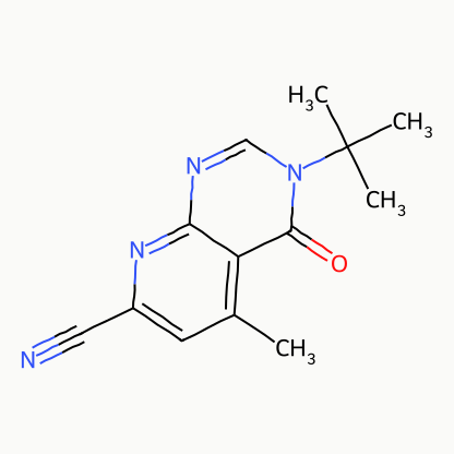 Cc1cc(C#N)nc2ncn(C(C)(C)C)c(=O)c12